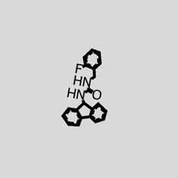 O=C(NCc1ccccc1F)NC1c2ccccc2-c2ccccc21